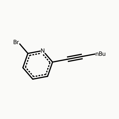 CCCCC#Cc1cccc(Br)n1